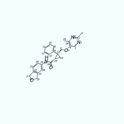 Cc1ncc(OC[C@@]2(c3ccccc3)C[C@H]2C(=O)Nc2ccc3c(c2)COC3)c(C)n1